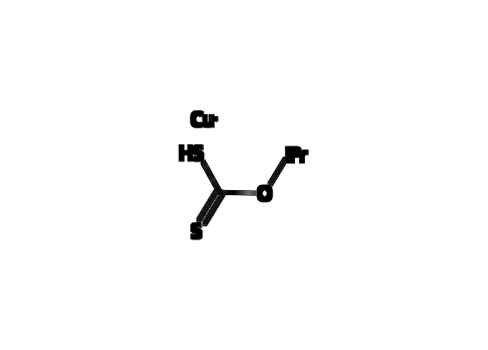 CC(C)OC(=S)S.[Cu]